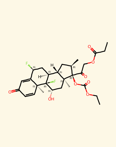 CCOC(=O)O[C@]1(C(=O)COC(=O)CC)[C@H](C)C[C@H]2[C@@H]3C[C@H](F)C4=CC(=O)C=C[C@]4(C)[C@@]3(F)[C@@H](O)C[C@@]21C